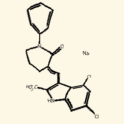 O=C(O)c1[nH]c2cc(Cl)cc(Cl)c2c1C=C1CCCN(c2ccccc2)C1=O.[Na]